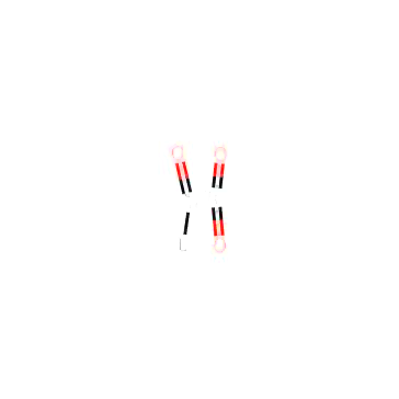 [Li][Ti]=[O].[O]=[Ti]=[O]